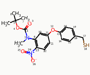 CN(C(=O)OC(C)(C)C)c1cc(Oc2ccc(CS)cc2)ccc1[N+](=O)[O-]